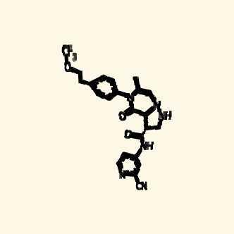 CC1=CN2NC[C@H](C(=O)Nc3ccnc(C#N)c3)C2C(=O)N1c1ccc(CCOC(F)(F)F)cc1